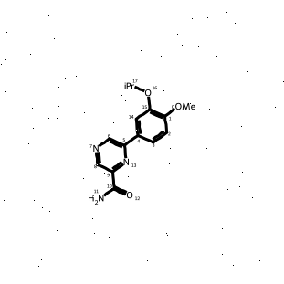 COc1ccc(-c2cncc(C(N)=O)n2)cc1OC(C)C